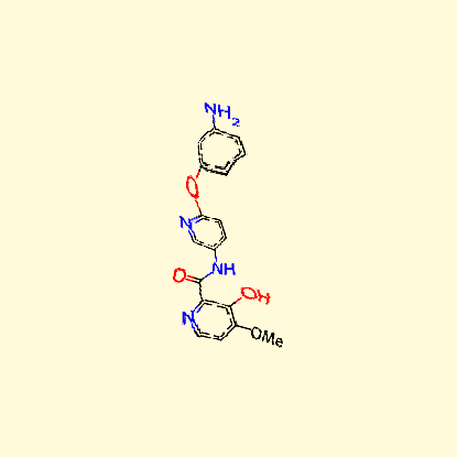 COc1ccnc(C(=O)Nc2ccc(Oc3cccc(N)c3)nc2)c1O